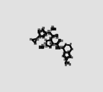 Cn1cc2c(n1)CCCC2NC(=O)[C@H]1C[C@H](O)CN1C(=O)[C@H](n1cc(C2CC2)nn1)C(C)(C)C